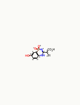 CCC(C(=O)O)C1=NS(=O)(=O)c2cc(O)ccc2N1